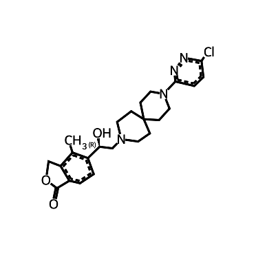 Cc1c([C@@H](O)CN2CCC3(CC2)CCN(c2ccc(Cl)nn2)CC3)ccc2c1COC2=O